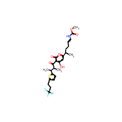 COC(=O)N/C=C/CCC(C)c1cc(O)c(C(=O)C(C)C(C)c2ccc(CCC(F)(F)F)s2)c(=O)o1